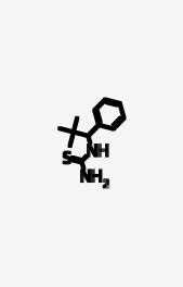 CC(C)(C)C(NC(N)=S)c1ccccc1